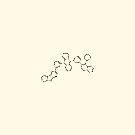 c1ccc(-c2c(-c3cccc(-c4c5ccccc5c(-c5cccc(-c6ccc7sc8ccccc8c7c6)c5)c5ccccc45)c3)ccc3ccccc23)cc1